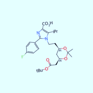 CC(C)c1c(C(=O)O)nc(-c2ccc(F)cc2)n1CC[C@@H]1C[C@H](CC(=O)OC(C)(C)C)OC(C)(C)O1